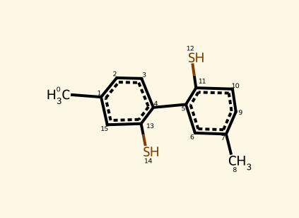 Cc1ccc(-c2cc(C)ccc2S)c(S)c1